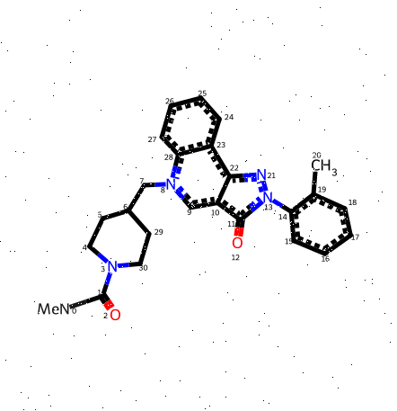 CNC(=O)N1CCC(Cn2cc3c(=O)n(-c4ccccc4C)nc-3c3ccccc32)CC1